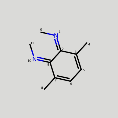 C/N=C1/C(C)=CC=C(C)/C1=N/C